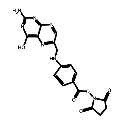 Nc1nc(O)c2nc(CNc3ccc(C(=O)ON4C(=O)CCC4=O)cc3)cnc2n1